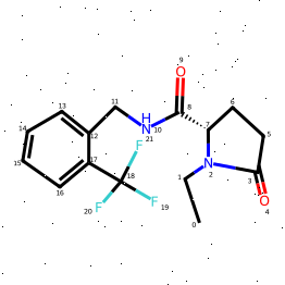 CCN1C(=O)CC[C@H]1C(=O)NCc1ccccc1C(F)(F)F